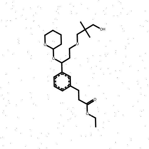 CCOC(=O)CCc1cccc(C(CCOCC(C)(C)CO)OC2CCCCO2)c1